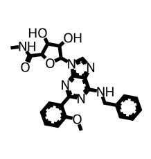 CNC(=O)C1OC(n2cnc3c(NCc4ccccc4)nc(-c4ccccc4OC)nc32)C(O)C1O